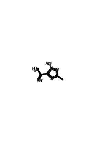 Cc1nnc(C(=N)N)s1.Cl